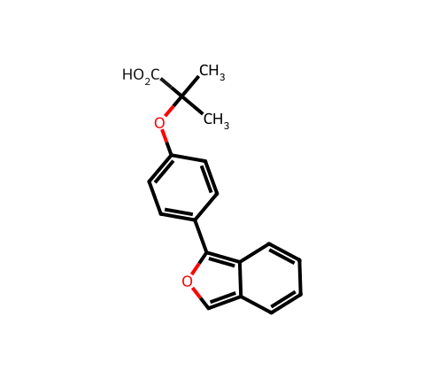 CC(C)(Oc1ccc(-c2occ3ccccc23)cc1)C(=O)O